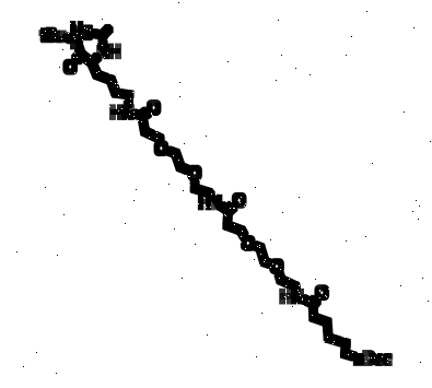 CCCCCCCCCCCCCCCC(=O)NCCOCCOCCC(=O)NCCOCCOCCC(=O)NCCCCC(NC(C)S)C(=O)NC(C)(C)C